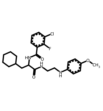 COc1ccc(NCCNC(=O)C(CC2CCCCC2)NC(=O)c2cccc(Cl)c2F)cc1